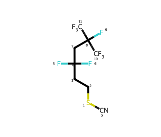 N#CSCCC(F)(F)CC(F)(C(F)(F)F)C(F)(F)F